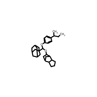 CCC(C)c1ccc(OC(OC2CC3CC2C2CCCC32)C23CC4CC(CC(C4)C2)C3)cc1